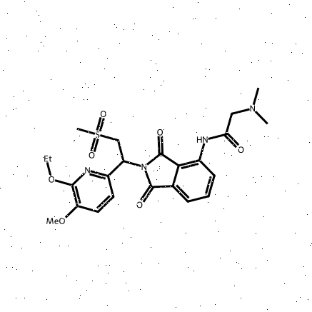 CCOc1nc(C(CS(C)(=O)=O)N2C(=O)c3cccc(NC(=O)CN(C)C)c3C2=O)ccc1OC